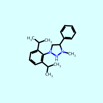 CC(C)c1cccc(C(C)C)c1N1[C]C(c2ccccc2)N(C)N1